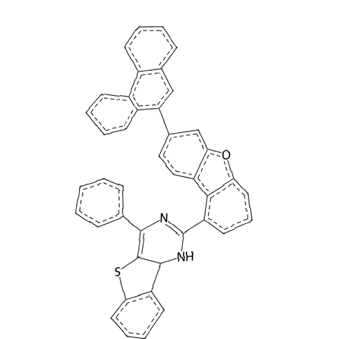 c1ccc(C2=C3Sc4ccccc4C3NC(c3cccc4oc5cc(-c6cc7ccccc7c7ccccc67)ccc5c34)=N2)cc1